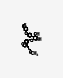 COCCCN1CCOc2ccc(COC3CNCC(O)C3c3ccc(Oc4ccc5sccc5c4)cc3)cc21